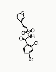 O=C(NS(=O)(=O)/C=C/c1ccsc1)c1ccc(Br)cc1Cl